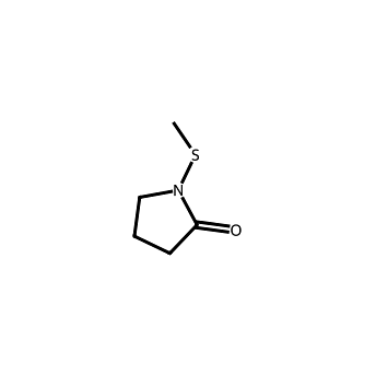 CSN1CCCC1=O